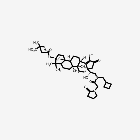 CC(C)C1=C2[C@H]3CC[C@@H]4[C@@]5(C)CC[C@H](OC(=O)CC(C)(C)C(=O)O)C(C)(C)C5CC[C@@]4(C)[C@]3(C)CC[C@@]2([C@@H](O)CN(CC2CCC2)C(=O)CN2CCCC2=O)CC1=O